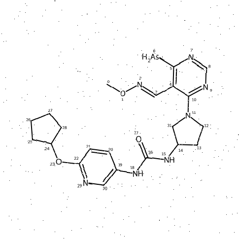 CO/N=C/c1c([AsH2])ncnc1N1CCC(NC(=O)Nc2ccc(OC3CCCC3)nc2)C1